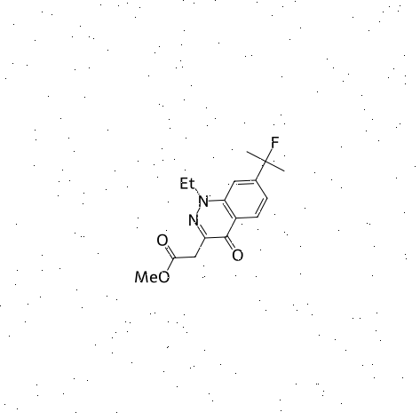 CCn1nc(CC(=O)OC)c(=O)c2ccc(C(C)(C)F)cc21